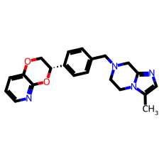 Cc1cnc2n1CCN(Cc1ccc([C@H]3COc4cccnc4O3)cc1)C2